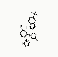 C=C1C[C@@H](c2nc3cc(C(C)(C)C)ccc3[nH]2)N(c2cc(F)c[c]c2-n2nccn2)C1